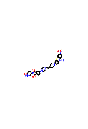 O=C1CCC(N2C(=O)c3ccc(N4CCN(CCC5CCN(c6ccc7c(c6)Sc6cc([N+](=O)[O-])ccc6N7)CC5)CC4)cc3C2=O)C(=O)N1